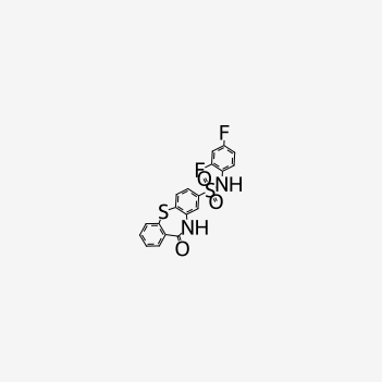 O=C1Nc2cc(S(=O)(=O)Nc3ccc(F)cc3F)ccc2Sc2ccccc21